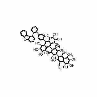 Bc1c(O)c(-c2c(O)c(B)c3c(O)c(O)c(O)c(C)c3c2O)c(O)c(O)c1-c1c2c(O)c(O)c(O)c(C)c2c(-c2ccc(-c3ccccc3-c3cccc4oc5ccccc5c34)cc2)c2c(O)c(O)c(O)c(O)c12